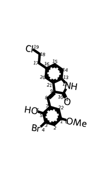 COc1cc(Br)c(O)c(C=C2C(=O)Nc3ccc(CCCl)cc32)c1